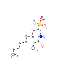 C=CC(N)=O.CCCCCCCCCS(=O)(=O)O